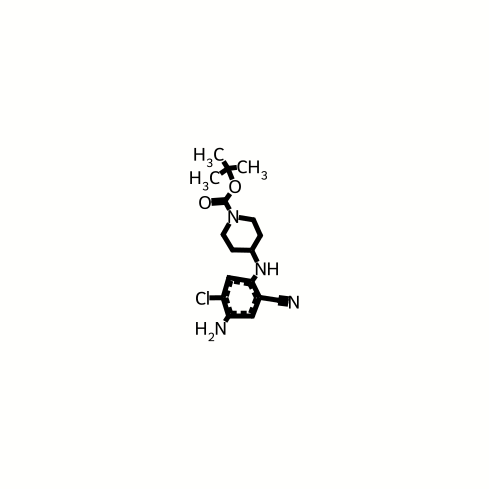 CC(C)(C)OC(=O)N1CCC(Nc2cc(Cl)c(N)cc2C#N)CC1